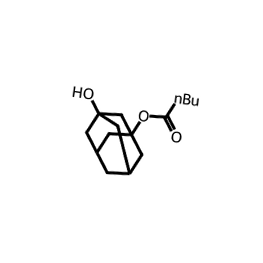 CCCCC(=O)OC12CC3CC(CC(O)(C3)C1)C2